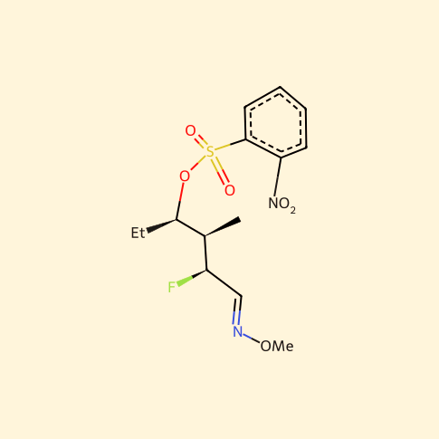 CC[C@@H](OS(=O)(=O)c1ccccc1[N+](=O)[O-])[C@@H](C)[C@H](F)C=NOC